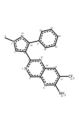 Cn1cc(-c2ncc3nc(N)c(C(F)(F)F)cc3n2)c(-c2ccccc2)n1